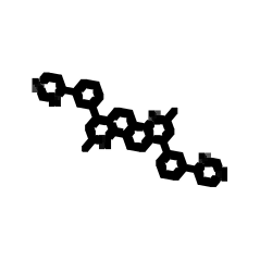 Cc1cc(-c2cccc(-c3ccncn3)c2)c2ccc3c(ccc4c(-c5cccc(-c6ccncn6)c5)cc(C)nc43)c2n1